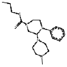 CCCOC(=O)N1CCN(c2ccccc2)C(N2CCN(C)CC2)C1